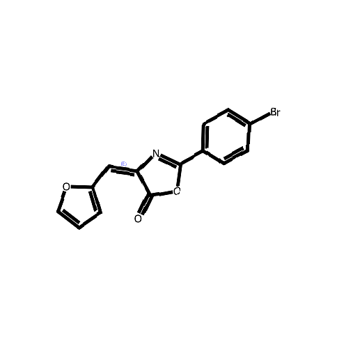 O=C1OC(c2ccc(Br)cc2)=N/C1=C/c1ccco1